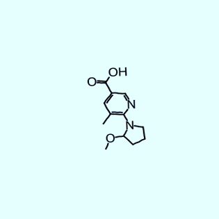 COC1CCCN1c1ncc(C(=O)O)cc1C